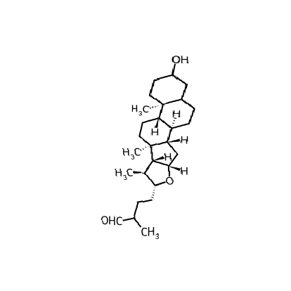 CC(C=O)CC[C@H]1O[C@H]2C[C@H]3[C@@H]4CCC5CC(O)CC[C@]5(C)[C@H]4CC[C@]3(C)[C@H]2[C@@H]1C